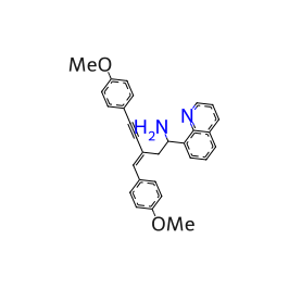 COc1ccc(C#C/C(=C/c2ccc(OC)cc2)CC(N)c2cccc3cccnc23)cc1